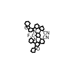 N#Cc1ccccc1-c1cc(-c2ccccc2C#N)c(-n2c3ccccc3c3c4c(ccc32)oc2ccccc24)c(C(F)(F)F)c1-n1c2ccccc2c2c3c(ccc21)oc1ccccc13